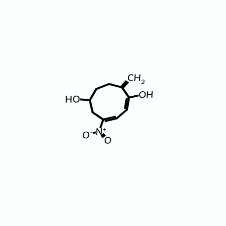 C=C1CCC(O)C/C([N+](=O)[O-])=C\C=C/1O